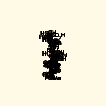 CC[C@@]1(OC(=O)N(C)CCN(C)C(=O)OCc2ccc(O[C@@H]3O[C@H](C(=O)O)[C@@H](O)[C@H](O)[C@H]3O)c(NC(=O)CCNC(=O)[C@H](CCCC(=O)N[C@@H]3O[C@H](C(=O)O)[C@@H](O)[C@H](O)[C@H]3O)NC(=O)CN3C(=O)C=CC3=O)c2)C(=O)OCc2c1cc1n(c2=O)Cc2c-1nc1cc(F)c(F)c(OC)c1c2C